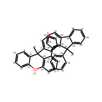 CC1(c2ccccc2)c2ccccc2Oc2cccc(-c3cccc4c3C(C)(c3ccccc3)c3ccccc3-4)c21